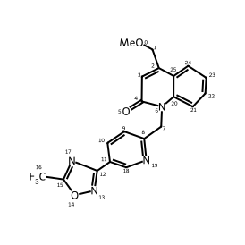 COCc1cc(=O)n(Cc2ccc(-c3noc(C(F)(F)F)n3)cn2)c2ccccc12